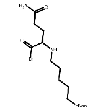 CCCCCCCCCCCCCCNC(CCC(N)=O)C(=O)Br